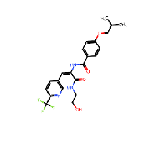 CC(C)COc1ccc(C(=O)NC(=Cc2ccc(C(F)(F)F)nc2)C(=O)NCCO)cc1